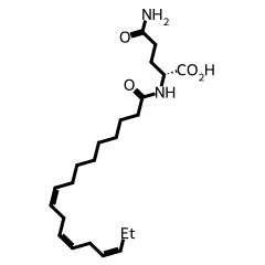 CC/C=C\C/C=C\C/C=C\CCCCCCCC(=O)N[C@H](CCC(N)=O)C(=O)O